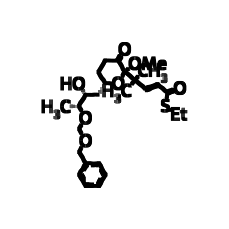 CCSC(=O)/C=C/C(C)(C)[C@]1(OC)O[C@H](C[C@@H](O)[C@@H](C)OCOCc2ccccc2)CCC1=O